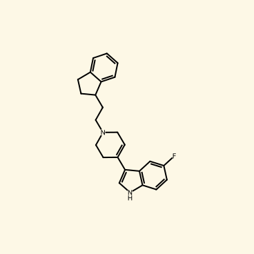 Fc1ccc2[nH]cc(C3=CCN(CCC4CCc5ccccc54)CC3)c2c1